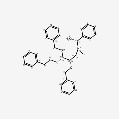 C[C@H](c1ccccc1)N1C[C@@H]1[C@H](OCc1ccccc1)[C@H](COCc1ccccc1)OCc1ccccc1